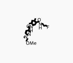 COCCN(C)c1ccc(C(=O)Nc2cc(C(=O)NCCCF)c(C)cc2C)cn1